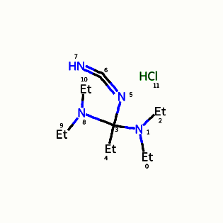 CCN(CC)C(CC)(N=C=N)N(CC)CC.Cl